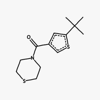 CC(C)(C)c1cc(C(=O)N2CCSCC2)cs1